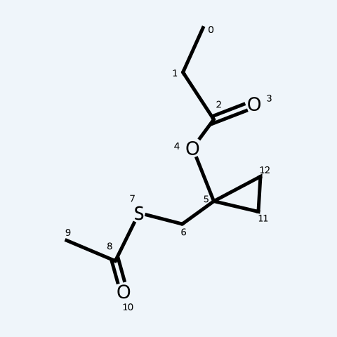 CCC(=O)OC1(CSC(C)=O)CC1